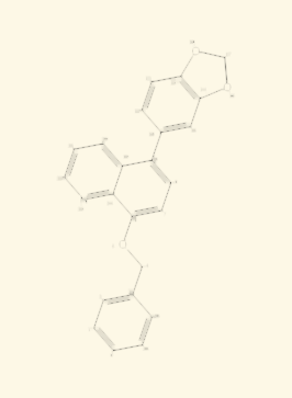 c1ccc(COc2ccc(-c3ccc4c(c3)OCO4)c3cccnc23)cc1